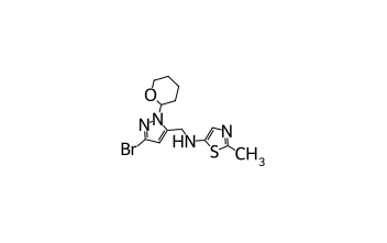 Cc1ncc(NCc2cc(Br)nn2C2CCCCO2)s1